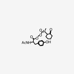 CC(=O)NC(Cc1ccc(O)cc1)C(=O)OCOC(=O)N(C)C1CCCCC1=O